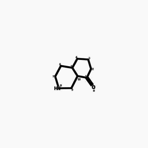 O=C1CCCC2CCNCC12